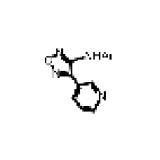 CC(=O)Nc1nonc1-c1cccnc1